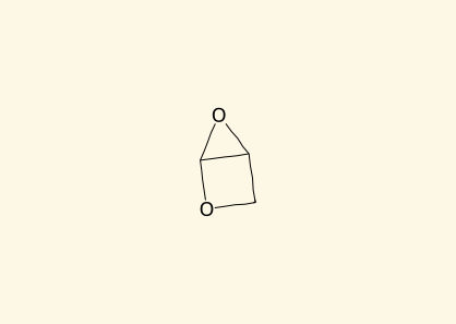 C1OC2OC12